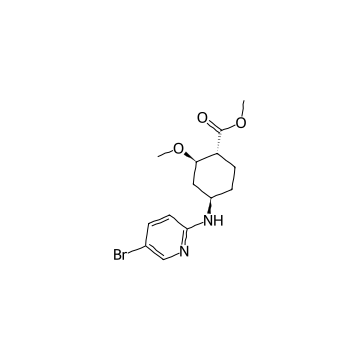 COC(=O)[C@@H]1CC[C@@H](Nc2ccc(Br)cn2)C[C@H]1OC